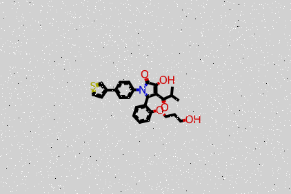 CC(C)C(=O)C1=C(O)C(=O)N(c2ccc(-c3ccsc3)cc2)C1c1ccccc1OCCCO